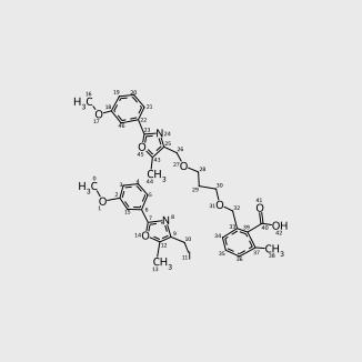 COc1cccc(-c2nc(CI)c(C)o2)c1.COc1cccc(-c2nc(COCCCOCc3cccc(C)c3C(=O)O)c(C)o2)c1